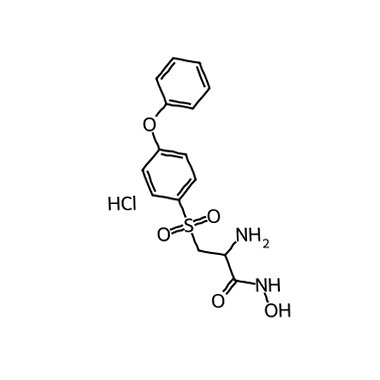 Cl.NC(CS(=O)(=O)c1ccc(Oc2ccccc2)cc1)C(=O)NO